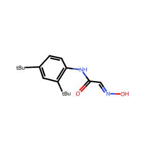 CC(C)(C)c1ccc(NC(=O)C=NO)c(C(C)(C)C)c1